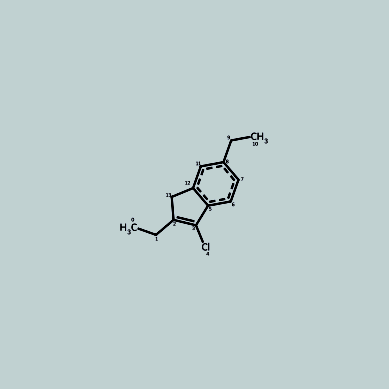 CCC1=C(Cl)c2ccc(CC)cc2C1